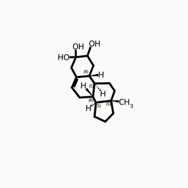 C[C@@]12CCC[C@H]1[C@@H]1CC=C3CC(O)(O)C(O)C[C@@H]3[C@H]1CC2